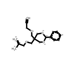 C#CCOCC1(COCC(=C)C)COC(c2ccccc2)OC1